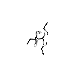 CCOC(OCC)P(=O)(O)CC